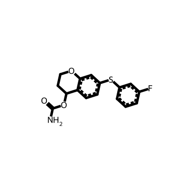 NC(=O)OC1CCOc2cc(Sc3cccc(F)c3)ccc21